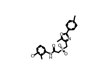 Cc1ccc(-c2nc(CS(=O)(=O)CC(=O)Nc3cccc(Cl)c3C)c(C)o2)cc1